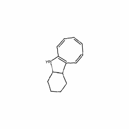 C1=CC=CC2=C(C=C1)NC1CCCCC21